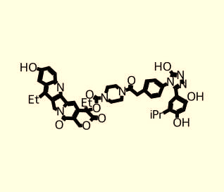 CCc1c2c(nc3ccc(O)cc13)-c1cc3c(c(=O)n1C2)COC(=O)C3(CC)OC(=O)N1CCN(C(=O)Cc2ccc(-n3c(O)nnc3-c3cc(C(C)C)c(O)cc3O)cc2)CC1